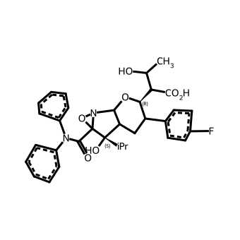 CC(O)C(C(=O)O)[C@@H]1OC2C(CC1c1ccc(F)cc1)[C@@](O)(C(C)C)C1(C(=O)N(c3ccccc3)c3ccccc3)ON21